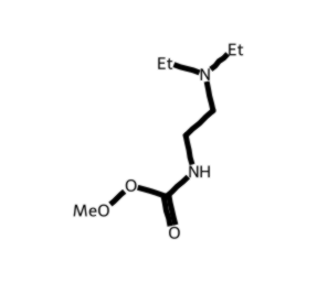 CCN(CC)CCNC(=O)OOC